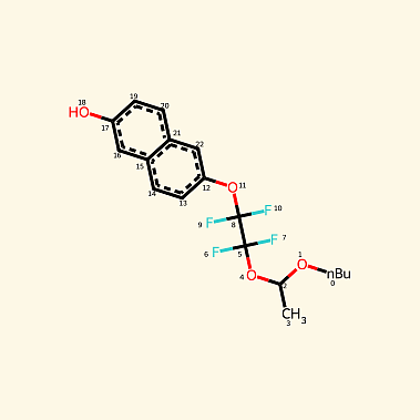 CCCCOC(C)OC(F)(F)C(F)(F)Oc1ccc2cc(O)ccc2c1